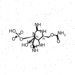 N=C1NC2[C@H](COC(N)=O)NC(=N)N3C[C@H](OS(=O)(=O)O)C(O)(O)[C@]23N1